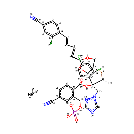 C[C@@H](S[C@H]1CO[C@H](C=CC=Cc2ccc(C#N)cc2F)OC1)[C@@](Cn1cncn1)(OC(=O)c1ccc(C#N)cc1COP(=O)([O-])[O-])c1ccc(F)cc1F.[Na+].[Na+]